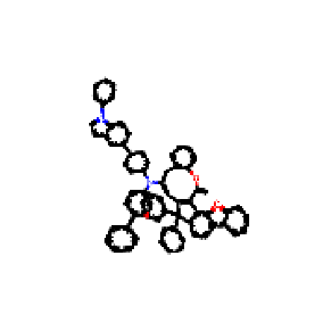 C=C1Oc2ccccc2C/C(N(c2ccc(-c3ccccc3)cc2)c2ccc(-c3ccc4c(ccn4-c4ccccc4)c3)cc2)=C\C2=C1c1c(ccc3c1oc1ccccc13)C2(c1ccccc1)c1ccccc1